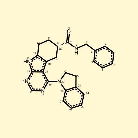 O=C(NCc1ccccc1)[C@H]1CCc2[nH]c3ncnc(N4CCc5ccccc54)c3c2C1